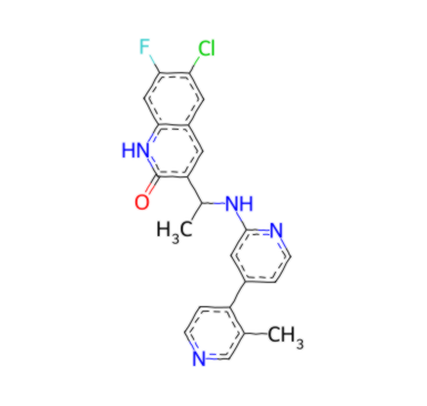 Cc1cnccc1-c1ccnc(NC(C)c2cc3cc(Cl)c(F)cc3[nH]c2=O)c1